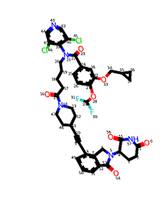 O=C1CCC(N2Cc3c(C#CC4CCN(C(=O)CCCCN(C(=O)c5ccc(OC(F)F)c(OCC6CC6)c5)c5c(Cl)cncc5Cl)CC4)cccc3C2=O)C(=O)N1